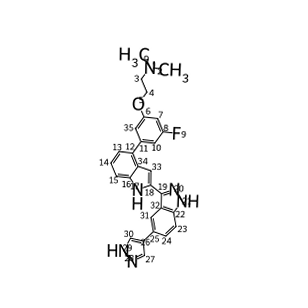 CN(C)CCOc1cc(F)cc(-c2cccc3[nH]c(-c4n[nH]c5ccc(-c6cn[nH]c6)cc45)cc23)c1